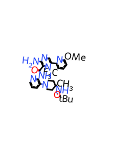 COc1ccc(C(F)(F)F)c(-c2cnc(N)c(C(=O)Nc3ncccc3N3CCC(C)(NOC(C)(C)C)CC3)n2)n1